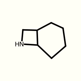 C1CCC2NCC2C1